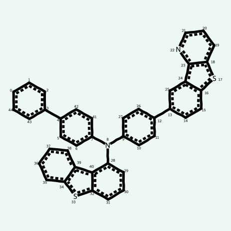 c1ccc(-c2ccc(N(c3ccc(-c4ccc5sc6cccnc6c5c4)cc3)c3cccc4sc5ccccc5c34)cc2)cc1